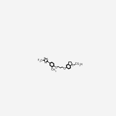 Cc1cc(-c2nc(C(F)(F)F)ns2)ccc1OCCCOc1ccc2c(c1)CC[C@H]2CC(=O)O